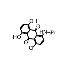 CC(C)Nc1ccc(Cl)c2c1C(=O)c1c(O)ccc(O)c1C2=O